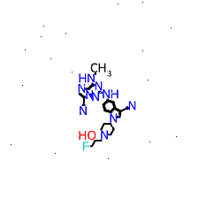 CCNc1nc(Nc2ccc3c(c2)c(C#N)cn3C2CCN(CC(O)CF)CC2)nn2c(C#N)cnc12